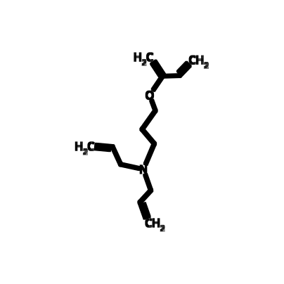 C=CCN(CC=C)CCCOC(=C)C=C